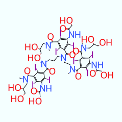 CN(CCCN(CCN(C)C(=O)c1c(I)c(NC(=O)CO)c(I)c(C(=O)N(C)CC(O)CO)c1I)C(=O)c1c(I)c(NC(=O)CO)c(I)c(C(=O)N(C)CC(O)CO)c1I)C(=O)c1c(I)c(NC(=O)CO)c(I)c(C(=O)N(C)CC(O)CO)c1I